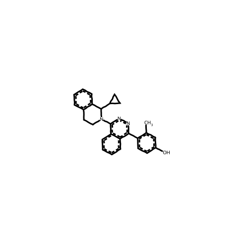 Cc1cc(O)ccc1-c1nnc(N2CCc3ccccc3C2C2CC2)c2ccccc12